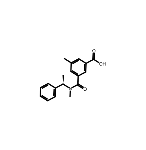 Cc1cc(C(=O)O)cc(C(=O)N(C)[C@H](C)c2ccccc2)c1